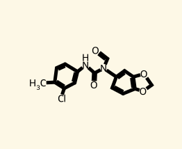 Cc1ccc(NC(=O)N(C=O)c2ccc3c(c2)OCO3)cc1Cl